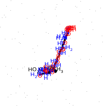 Cc1ccccc1NC(=O)Nc1ccc(CC(=O)N[C@@H](CCCNC(N)=O)C(=O)N[C@@H](CCC(=O)O)C(=O)N[C@@H](CO)C(=O)N[C@H](C(=O)NCCOCCOCCNC(=O)CCC(=O)NCCOCCOCCNC(=O)CCC(=O)N[C@@H](CCCCNC(=O)CCCCN(N)/C=C(\N)COC(=O)NCCCC(O)(P(=O)(O)O)P(=O)(O)O)C(N)=O)C(C)C)cc1